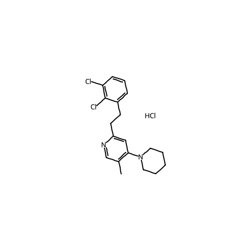 Cc1cnc(CCc2cccc(Cl)c2Cl)cc1N1CCCCC1.Cl